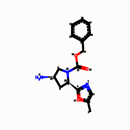 Cc1cnc([C@@H]2C[C@H](N)CN2C(=O)OCc2ccccc2)o1